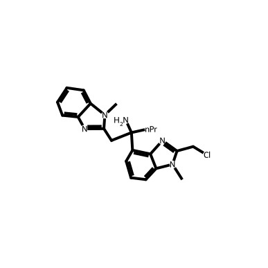 CCCC(N)(Cc1nc2ccccc2n1C)c1cccc2c1nc(CCl)n2C